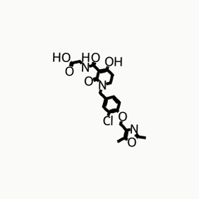 Cc1nc(COc2ccc(CN3CCC(O)=C(C(=O)NCC(=O)O)C3=O)cc2Cl)c(C)o1